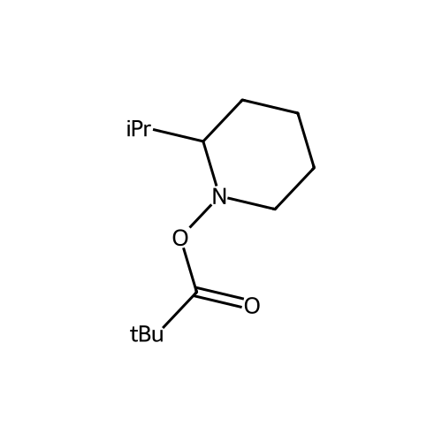 CC(C)C1CCCCN1OC(=O)C(C)(C)C